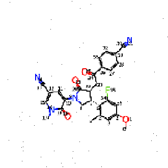 COc1cc(C)c([C@@H]2CN(c3cc(C#N)cn(C)c3=O)C(=O)[C@H]2CC(=O)c2ccc(C#N)cc2)c(F)c1